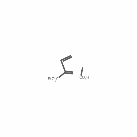 C=CC(=C)C(=O)OCC.CC(=O)O